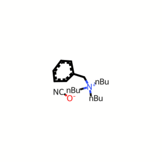 CCCC[N+](CCCC)(CCCC)Cc1ccccc1.N#C[O-]